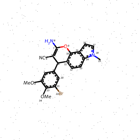 COc1cc(C2C(C#N)=C(N)Oc3c2ccc2c3ccn2C)cc(Br)c1OC